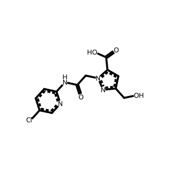 O=C(Cn1nc(CO)cc1C(=O)O)Nc1ccc(Cl)cn1